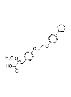 CO[C@@H](Cc1ccc(OCCOc2ccc(C3CCCC3)cc2)cc1)C(=O)O